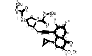 CCOC(=O)c1cn(C2CC2)c2c(C#CC[C@H]3C[C@H](NC(=O)OC(C)(C)C)CN3C(=O)OC(C)(C)C)c(F)c(F)cc2c1=O